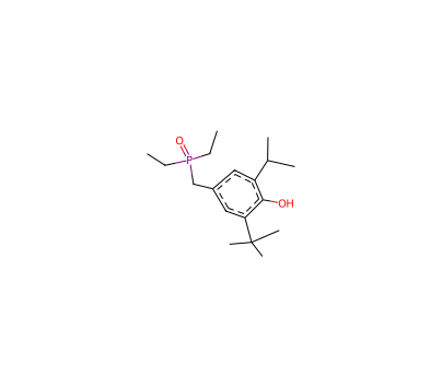 CCP(=O)(CC)Cc1cc(C(C)C)c(O)c(C(C)(C)C)c1